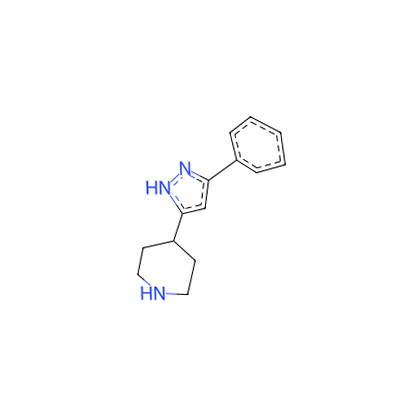 c1ccc(-c2cc(C3CCNCC3)[nH]n2)cc1